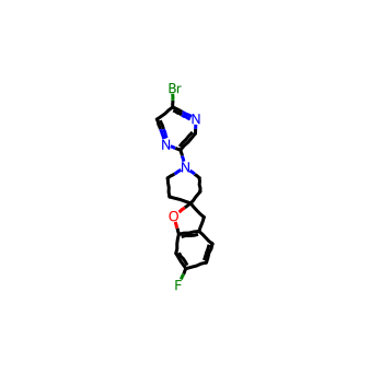 Fc1ccc2c(c1)OC1(CCN(c3cnc(Br)cn3)CC1)C2